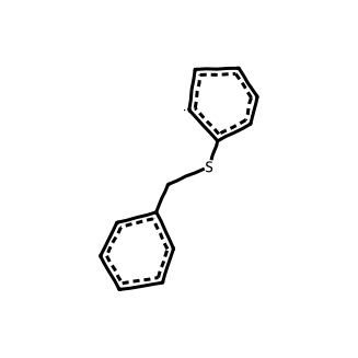 [c]1ccccc1SCc1ccccc1